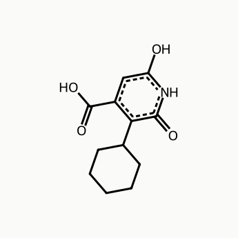 O=C(O)c1cc(O)[nH]c(=O)c1C1CCCCC1